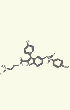 Cc1ccc(-c2c(C(=O)NCCN(C)C)[nH]c3ccc(NS(=O)(=O)c4ccc(C(C)(C)C)cc4)cc23)cc1